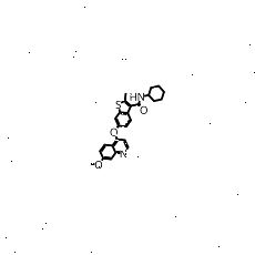 COc1ccc2c(Oc3ccc4c(C(=O)NC5CCCCC5)c(C)sc4c3)ccnc2c1